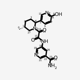 C[C@@H]1CCC(c2ccc(O)nc2)N(C(=O)C(=O)Nc2cncc(C(N)=O)c2)C1